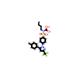 CCCCN(C(=O)O)S(=O)(=O)c1ccc(-n2nc(C(F)(F)F)cc2-c2ccc(C)cc2)cc1